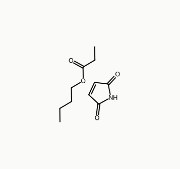 CCCCOC(=O)CC.O=C1C=CC(=O)N1